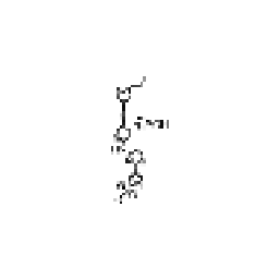 O=S(=O)(C1CC1)n1cc(-c2nccc(Nc3cc(N4CC[C@@H](O)C4)c(C#Cc4cnn(CCF)c4)cn3)n2)cn1